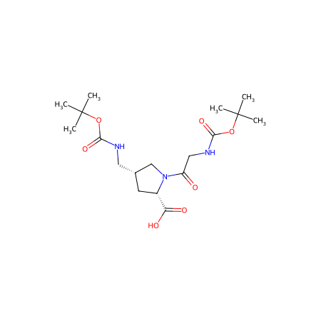 CC(C)(C)OC(=O)NCC(=O)N1C[C@@H](CNC(=O)OC(C)(C)C)C[C@H]1C(=O)O